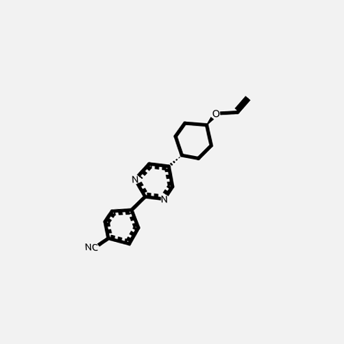 C=CO[C@H]1CC[C@H](c2cnc(-c3ccc(C#N)cc3)nc2)CC1